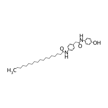 CCCCCCCCCCCCCCCCCC(=O)Nc1ccc(CC(=O)Nc2ccc(O)cc2)cc1